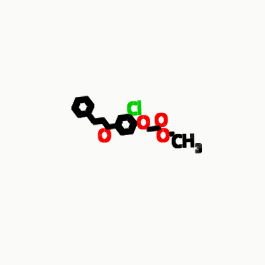 CCOC(=O)COc1ccc(C(=O)C=Cc2ccccc2)cc1Cl